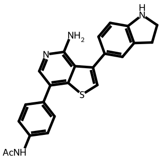 CC(=O)Nc1ccc(-c2cnc(N)c3c(-c4ccc5c(c4)CCN5)csc23)cc1